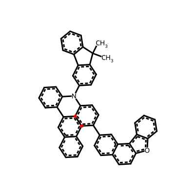 CC1(C)c2ccccc2-c2cc(N(c3ccc(-c4ccc5ccc6oc7ccccc7c6c5c4)cc3)c3ccccc3-c3ccc4ccccc4c3)ccc21